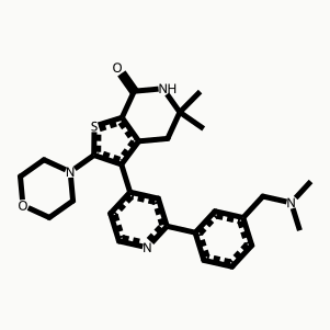 CN(C)Cc1cccc(-c2cc(-c3c(N4CCOCC4)sc4c3CC(C)(C)NC4=O)ccn2)c1